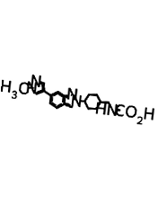 Cn1cc(-c2ccc3cn(C4CCC(CNC(=O)O)CC4)nc3c2)cn1